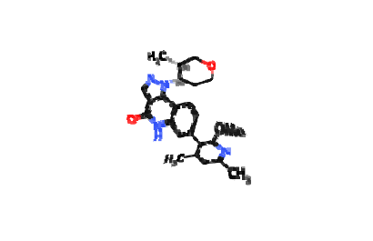 COc1nc(C)cc(C)c1-c1ccc2c(c1)[nH]c(=O)c1cnn([C@H]3CCOC[C@H]3C)c12